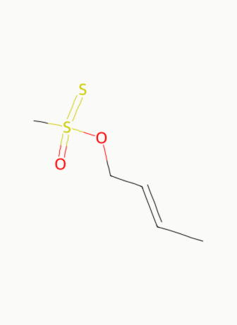 CC=CCOS(C)(=O)=S